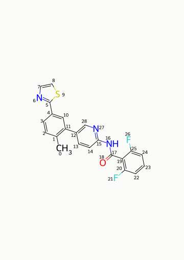 Cc1ccc(-c2nccs2)cc1-c1ccc(NC(=O)c2c(F)cccc2F)nc1